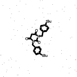 CC(C)(C)c1ccc(CN2C(=O)CC(=O)N(Cc3ccc(C(C)(C)C)cc3)C2=O)cc1